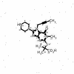 CC#CCn1c(N2CCNCC2)nc2nc(SC(C)(C)C(=O)O)n(C)c(=O)c21